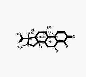 C[C@@H]1C[C@H]2[C@@H]3C[C@H](F)C4=C(F)C(=O)C=C[C@]4(C)[C@@]3(Br)[C@@H](O)C[C@]2(C)[C@@]1(O)C(=O)O